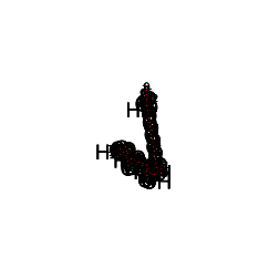 CCCCC(I)(CC)SC1CC(=O)N(CCC(=O)NCCOCCOCCOCCOCCOCCOCCOCCOCCC(=O)N[C@H](CC(C)C)C(=O)N[C@@H](C)C(=O)N[C@@H](CCC(=O)O)C(=O)Nc2ccc(COC(=O)NCc3c4c(nc5cc6c(cc35)OCO6)-c3cc5c(c(=O)n3C4)COC(=O)[C@]5(O)CC)cc2)C1=O